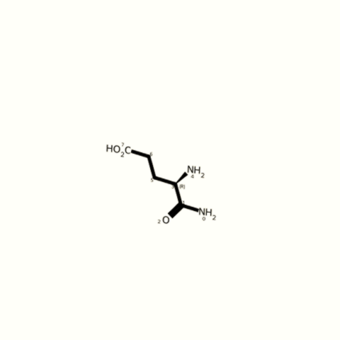 NC(=O)[C@H](N)CCC(=O)O